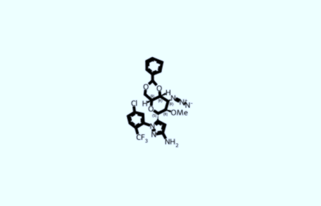 CO[C@@H]1[C@@H](N=[N+]=[N-])[C@H]2OC(c3ccccc3)OC[C@H]2O[C@H]1c1cc(N)nn1-c1cc(Cl)ccc1C(F)(F)F